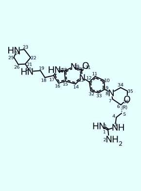 N=C(N)NCC[C@@H]1CN(c2ccc(-n3cc4cc(CCNC5CCNCC5)[nH]c4nc3=O)cc2)CCO1